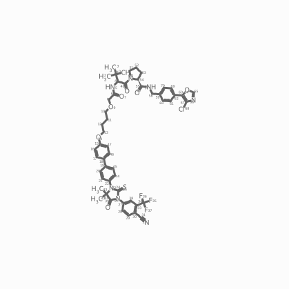 CC(C)(C)C(NC(=O)COCCCCOc1ccc(-c2ccc(N3C(=S)N(c4ccc(C#N)c(C(F)(F)F)c4)C(=O)C3(C)C)cc2)cc1)C(=O)N1CCC[C@H]1C(=O)NCc1ccc(-c2ocnc2Cl)cc1